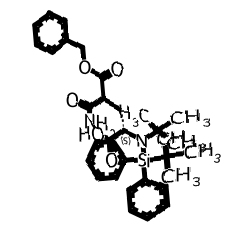 CC(C)(C)N([C@@H](CC(C(N)=O)C(=O)OCc1ccccc1)C(=O)O)[Si](c1ccccc1)(c1ccccc1)C(C)(C)C